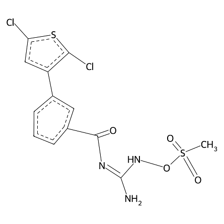 CS(=O)(=O)ONC(N)=NC(=O)c1cccc(-c2cc(Cl)sc2Cl)c1